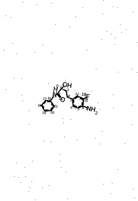 C[C@](O)(CCc1ccc(N)c([18F])c1)C(=O)Nc1ccccc1